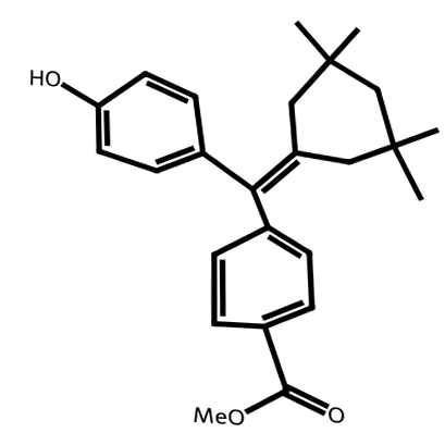 COC(=O)c1ccc(C(=C2CC(C)(C)CC(C)(C)C2)c2ccc(O)cc2)cc1